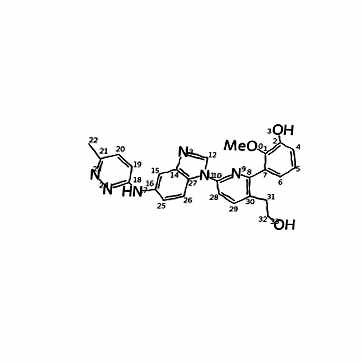 COc1c(O)cccc1-c1nc(-n2cnc3cc(Nc4ccc(C)nn4)ccc32)ccc1CCO